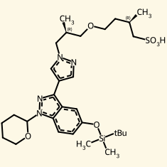 C[C@H](CCOC[C@H](C)Cn1cc(-c2nn(C3CCCCO3)c3ccc(O[Si](C)(C)C(C)(C)C)cc23)cn1)CS(=O)(=O)O